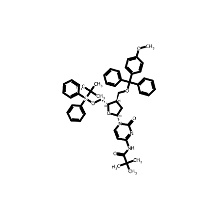 COc1ccc(C(OC[C@H]2C[C@H](n3ccc(NC(=O)C(C)(C)C)nc3=O)O[C@@H]2CO[Si](c2ccccc2)(c2ccccc2)C(C)(C)C)(c2ccccc2)c2ccccc2)cc1